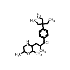 CCC(CC)(CC)c1ccc(CC(C)CC2NCC(C)OC2C)cc1.Cl